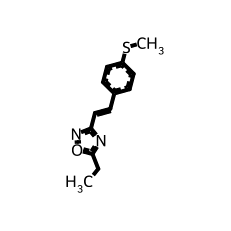 CCc1nc(/C=C/c2ccc(SC)cc2)no1